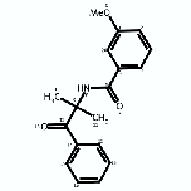 COc1cccc(C(=O)NC(C)(C)C(=O)c2ccccc2)c1